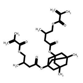 C=C(C)C(=O)OCC(C)CC(=O)OC12CC3(C)CC(C)(C1)CC(OC(=O)CC(C)COC(=O)C(=C)C)(C3)C2